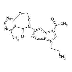 CCCn1cc(C(C)=O)c2cc(N3CCOc4ncnc(N)c4C3=O)ccc21